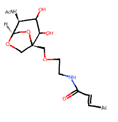 CC(=O)/C=C/C(=O)NCCOC[C@@]12CO[C@H](O1)[C@@H](NC(C)=O)C(O)C2O